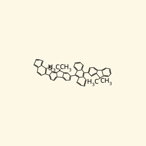 CC1(C)c2ccccc2-c2ccc(-c3c4ccccc4c(-c4ccc5c(c4)C(C)(C)c4c-5ccc5c4sc4c6ccccc6ccc54)c4ccccc34)cc21